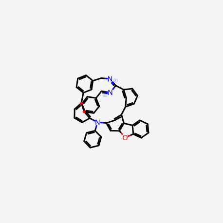 C(=N\C1=N/Cc2cccc(c2)-c2cccc(c2)N(c2ccccc2)c2cc(c3c(c2)oc2ccccc23)-c2cccc1c2)/c1ccccc1